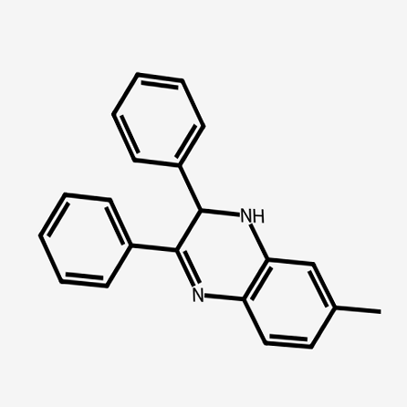 Cc1ccc2c(c1)NC(c1ccccc1)C(c1ccccc1)=N2